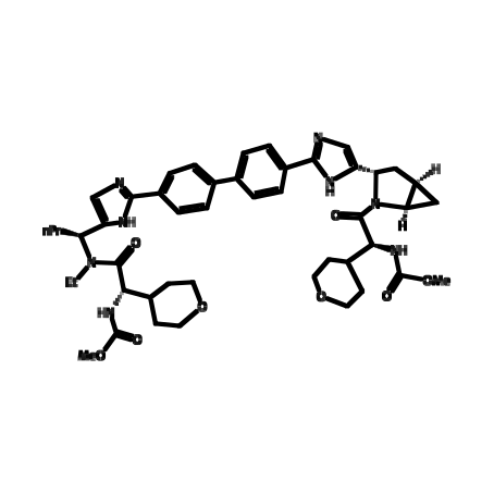 CCC[C@@H](c1cnc(-c2ccc(-c3ccc(-c4ncc([C@@H]5C[C@H]6C[C@H]6N5C(=O)[C@@H](NC(=O)OC)C5CCOCC5)[nH]4)cc3)cc2)[nH]1)N(CC)C(=O)[C@@H](NC(=O)OC)C1CCOCC1